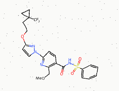 COCc1nc(-n2ccc(OCCC3(C(F)(F)F)CC3)n2)ccc1C(=O)NS(=O)(=O)c1ccccc1